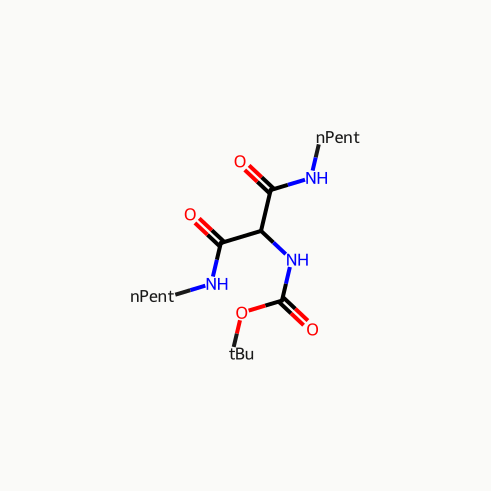 CCCCCNC(=O)C(NC(=O)OC(C)(C)C)C(=O)NCCCCC